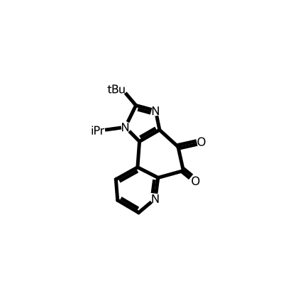 CC(C)n1c(C(C)(C)C)nc2c1-c1cccnc1C(=O)C2=O